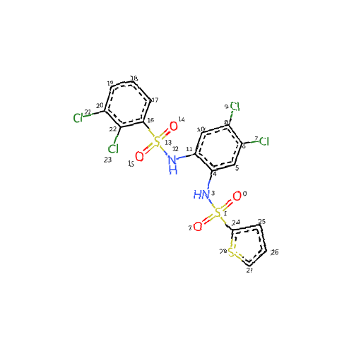 O=S(=O)(Nc1cc(Cl)c(Cl)cc1NS(=O)(=O)c1cccc(Cl)c1Cl)c1cccs1